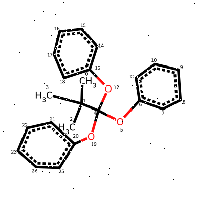 CC(C)(C)C(Oc1ccccc1)(Oc1ccccc1)Oc1ccccc1